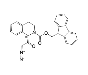 [N-]=[N+]=CC(=O)[C@H]1c2ccccc2CCN1C(=O)OCC1c2ccccc2-c2ccccc21